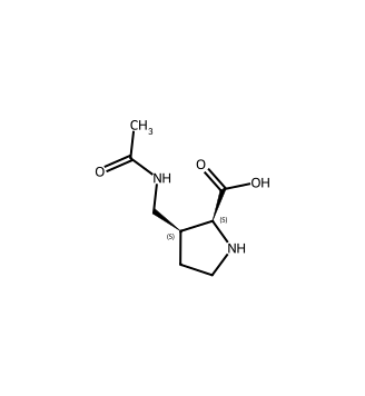 CC(=O)NC[C@@H]1CCN[C@@H]1C(=O)O